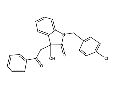 O=C(CC1(O)C(=O)N(Cc2ccc(Cl)cc2)c2ccccc21)c1ccccc1